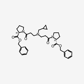 O=C(OCc1ccccc1)[C@H]1CCCN1C(=O)CCN(CCC(=O)N1CCC[C@@H]1C(=O)OCc1ccccc1)CC1CC1